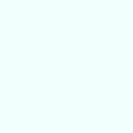 CON(C)C1CCCC1